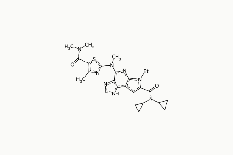 CCn1c(C(=O)N(C2CC2)C2CC2)cc2c3[nH]cnc3c(N(C)c3nc(C)c(C(=O)N(C)C)s3)nc21